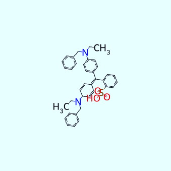 CCN(Cc1ccccc1)c1ccc(C(=C2C=CC(N(CC)Cc3ccccc3)C=C2)c2ccccc2S(=O)(=O)O)cc1